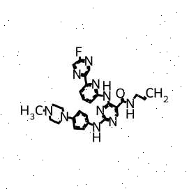 C=CCNC(=O)c1cnc(Nc2ccc(N3CCN(C)CC3)cc2)nc1Nc1cccc(-c2cnc(F)cn2)n1